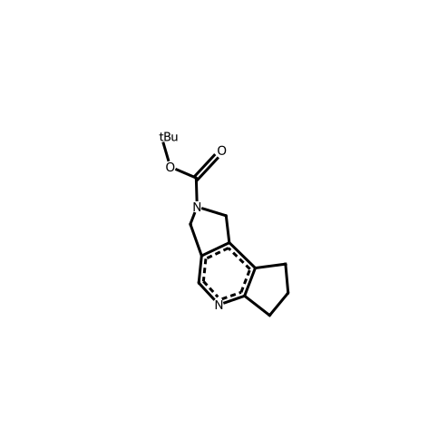 CC(C)(C)OC(=O)N1Cc2cnc3c(c2C1)CCC3